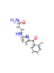 Cc1ccccc1C(=O)c1csc(NCCC(N)=O)n1